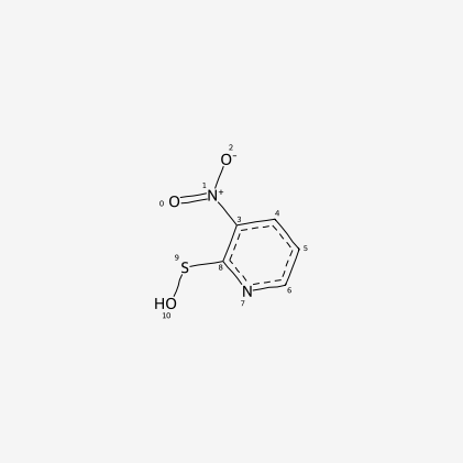 O=[N+]([O-])c1cccnc1SO